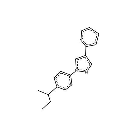 CCC(C)c1ccc(-n2cc(-c3ccccn3)cn2)cc1